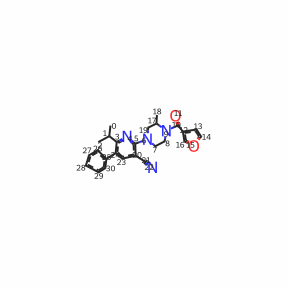 CC(C)c1nc(N2CCN(C(=O)c3ccoc3)C(C)C2)c(C#N)cc1-c1ccccc1